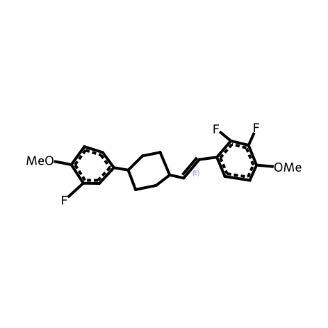 COc1ccc(C2CCC(/C=C/c3ccc(OC)c(F)c3F)CC2)cc1F